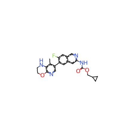 Cc1c(-c2cc3cc(NC(=O)OCC4CC4)ncc3cc2F)cnc2c1NCCO2